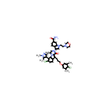 Cc1cc(OCCCc2c3n(c4c(-c5c(C)nn(C)c5C)c(Cl)ccc24)[C@H](C)CN(c2cn(CCN4CCOCC4)c4cc(C(N)=O)ccc24)C3=O)cc(C)c1Cl